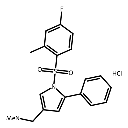 CNCc1cc(-c2ccccc2)n(S(=O)(=O)c2ccc(F)cc2C)c1.Cl